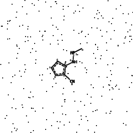 CPNn1cccc1C#N